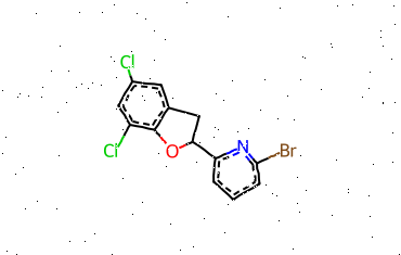 Clc1cc(Cl)c2c(c1)CC(c1cccc(Br)n1)O2